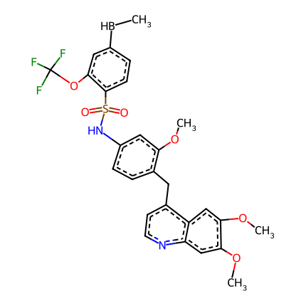 CBc1ccc(S(=O)(=O)Nc2ccc(Cc3ccnc4cc(OC)c(OC)cc34)c(OC)c2)c(OC(F)(F)F)c1